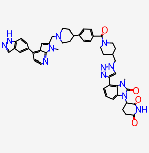 Cn1c(CN2CCC(c3ccc(C(=O)N4CCC(Cn5cc(-c6cccc7c6n(C)c(=O)n7C6CCC(=O)NC6=O)nn5)CC4)cc3)CC2)cc2c(-c3ccc4[nH]ncc4c3)ccnc21